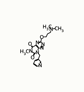 CN(C)CCCOc1nnc2c(n1)c(=O)n(C)c(=O)n2Cc1cccnc1